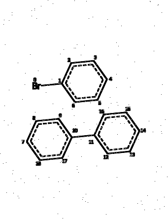 Brc1ccccc1.c1ccc(-c2ccccc2)cc1